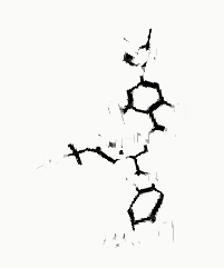 COc1cc2nc(C(CNC(=O)c3c(Cl)cc(-n4cnc(C)n4)cc3Cl)n3cc(C(C)(C)O)nn3)[nH]c2cc1Cl